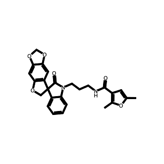 Cc1cc(C(=O)NCCCN2C(=O)C3(COc4cc5c(cc43)OCO5)c3ccccc32)c(C)o1